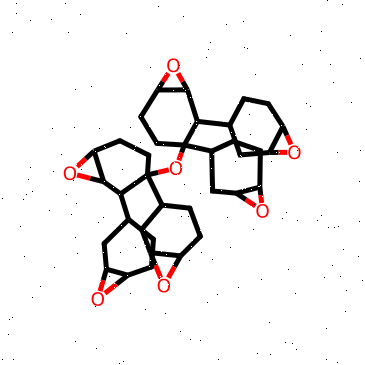 C1CC2OC2CC1C1C2OC2CCC1(OC1(C2CCC3OC3C2)CCC2OC2C1C1CCC2OC2C1)C1CCC2OC2C1